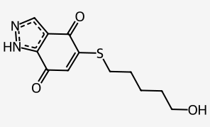 O=C1C(SCCCCCO)=CC(=O)c2[nH]ncc21